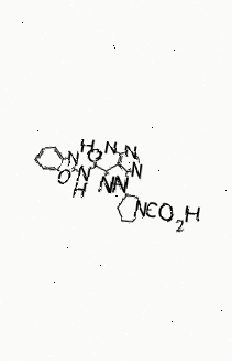 Nc1ncnc2c1c(C(=O)Nc1nc3ccccc3o1)nn2C1CCCN(C(=O)O)C1